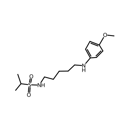 COc1ccc(NCCCCCNS(=O)(=O)C(C)C)cc1